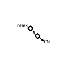 CCCCCC[C@H]1CC[C@H](CC[C@H]2CC[C@H](C#CC#N)CC2)CC1